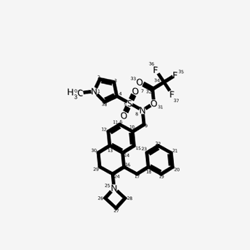 Cn1ccc(S(=O)(=O)N(Cc2ccc3c(c2)C(Cc2ccccc2)C(N2CCC2)CC3)OC(=O)C(F)(F)F)c1